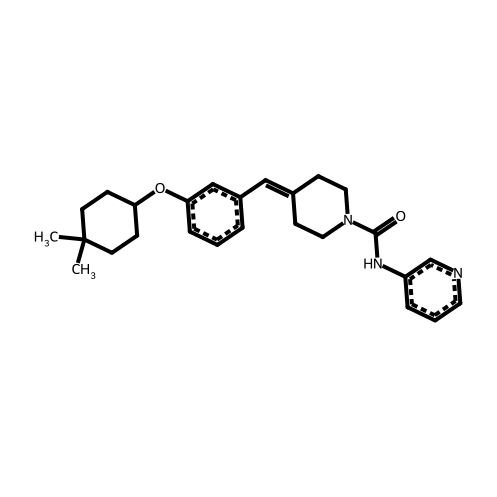 CC1(C)CCC(Oc2cccc(C=C3CCN(C(=O)Nc4cccnc4)CC3)c2)CC1